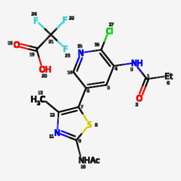 CCC(=O)Nc1cc(-c2sc(NC(C)=O)nc2C)cnc1Cl.O=C(O)C(F)(F)F